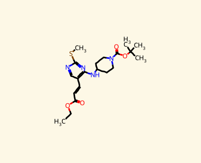 CCOC(=O)C=Cc1cnc(SC)nc1NC1CCN(C(=O)OC(C)(C)C)CC1